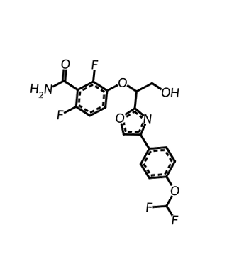 NC(=O)c1c(F)ccc(OC(CO)c2nc(-c3ccc(OC(F)F)cc3)co2)c1F